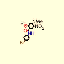 CCOc1cc(NC)c([N+](=O)[O-])cc1C(=O)Nc1ccc(Br)cc1